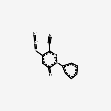 N#Cc1nn(-c2ccccc2)c(=O)cc1N=[N+]=[N-]